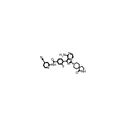 N#Cc1ccnc(NC(=O)c2ccc(-c3nc(N4CCC5(CCNC5=O)CC4)n4ccnc(N)c34)c(F)c2)c1